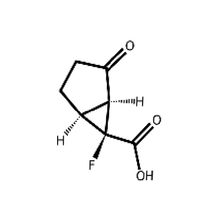 O=C1CC[C@H]2[C@@H]1[C@]2(F)C(=O)O